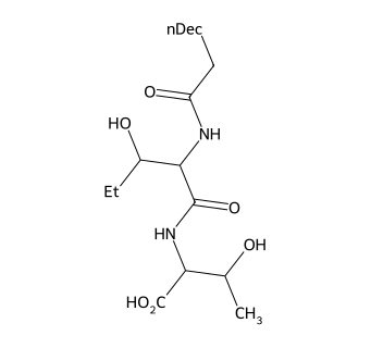 CCCCCCCCCCCC(=O)NC(C(=O)NC(C(=O)O)C(C)O)C(O)CC